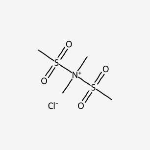 C[N+](C)(S(C)(=O)=O)S(C)(=O)=O.[Cl-]